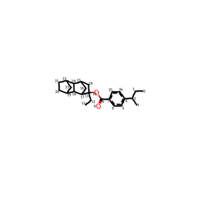 CCC(C)c1ccc(C(=O)OC2(CC)CC3CC2C2C4CCC(C4)C32)cc1